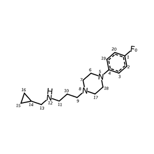 Fc1ccc(N2CCN(CCCNCC3CC3)CC2)cc1